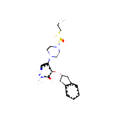 CCCS(=O)(=O)N1CCN(c2cnn(C)c(=O)c2OC2Cc3ccccc3C2)CC1